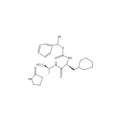 CC(C)C(OC(=O)N[C@@H](CC1CCCCC1)C(=O)N[C@@H](C[C@@H]1CCNC1=O)C(=O)O)c1ccccc1